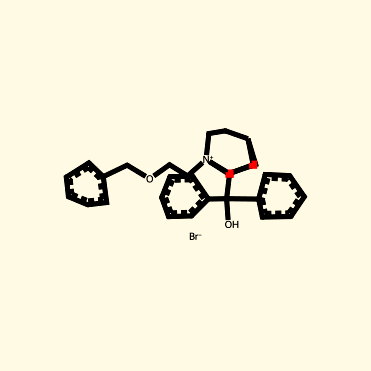 OC(c1ccccc1)(c1ccccc1)C1CC2CC[N+]1(CCOCc1ccccc1)CC2.[Br-]